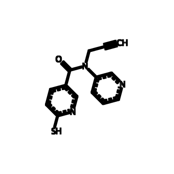 C#CCN(C(=O)c1ccc(S)nc1)c1cccnc1